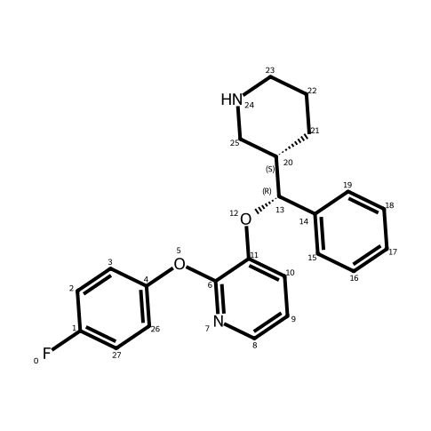 Fc1ccc(Oc2ncccc2O[C@@H](c2ccccc2)[C@H]2CCCNC2)cc1